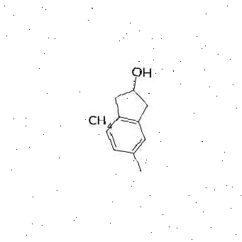 C.Cc1ccc2c(c1)CC(O)C2